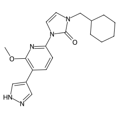 COc1nc(-n2ccn(CC3CCCCC3)c2=O)ccc1-c1cn[nH]c1